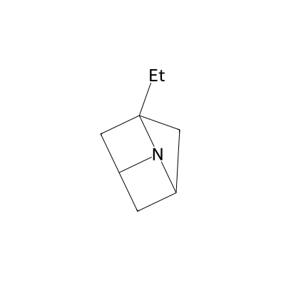 CCC12CC3CC(C1)N32